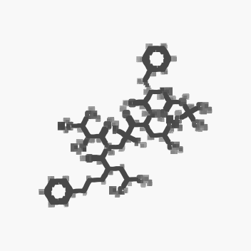 CC(C)CC(CCCc1ccccc1)C(=O)N(CC(F)(F)C(=O)C(CC(C)C)NC(=O)[C@H](Cc1ccccc1)NC(=O)OC(C)(C)C)C(=O)[C@@H](N)C(C)C